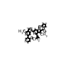 COc1ccncc1-c1cc2c(cnn2-c2cc3c(c(C4CC4)n2)c(C)c(C(=O)N2CCCC2)n3C)c(C)n1